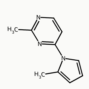 Cc1nccc(-n2cccc2C)n1